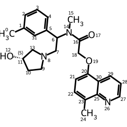 Cc1cccc(C(CN2CC[C@H](O)C2)N(C)C(=O)COc2ccc(C)c3ncccc23)c1